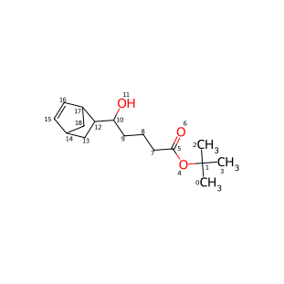 CC(C)(C)OC(=O)CCCC(O)C1CC2C=CC1C2